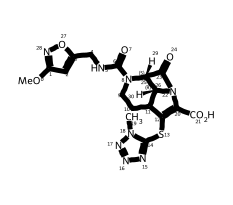 COc1cc(CNC(=O)N2CCC3C(Sc4nnnn4C)=C(C(=O)O)N4C(=O)[C@@H]2[C@@H]34)on1